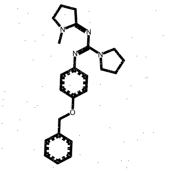 CN1CCC/C1=N/C(=N/c1ccc(OCc2ccccc2)cc1)N1CCCC1